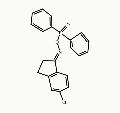 O=P(ON=C1CCc2cc(Cl)ccc21)(c1ccccc1)c1ccccc1